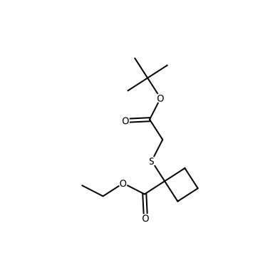 CCOC(=O)C1(SCC(=O)OC(C)(C)C)CCC1